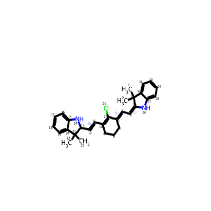 CC1(C)/C(=C\C=C2/CCCC(/C=C/C3Nc4ccccc4C3(C)C)=C2Cl)Nc2ccccc21